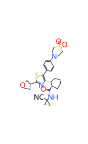 N#CC1(NC(=O)[C@@H]2CCCC[C@H]2c2nc(C3CCOC3)sc2-c2ccc(N3CCS(=O)(=O)CC3)cc2)CC1